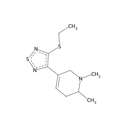 CCSc1nsnc1C1=CCC(C)N(C)C1